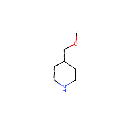 CO[CH]C1CCNCC1